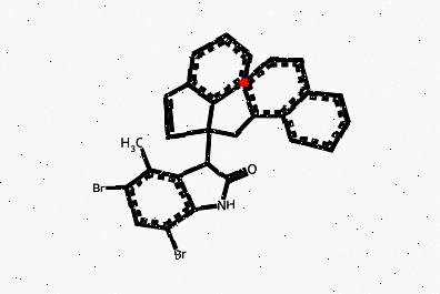 Cc1c(Br)cc(Br)c2c1C(C1(Cc3cccc4ccccc34)C=Cc3ccccc31)C(=O)N2